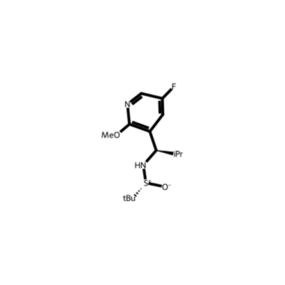 COc1ncc(F)cc1[C@H](N[S@+]([O-])C(C)(C)C)C(C)C